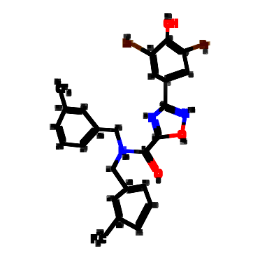 O=C(c1nc(-c2cc(Br)c(O)c(Br)c2)no1)N(Cc1cccc(C(F)(F)F)c1)Cc1cccc(C(F)(F)F)c1